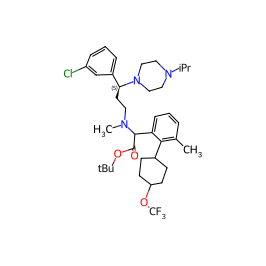 Cc1cccc(C(C(=O)OC(C)(C)C)N(C)CC[C@@H](c2cccc(Cl)c2)N2CCN(C(C)C)CC2)c1C1CCC(OC(F)(F)F)CC1